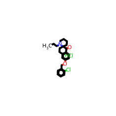 CCCN1CCCCC12CCc1cc(OCc3ccccc3Cl)ccc1C2=O.Cl